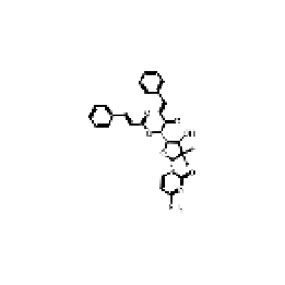 Nc1ccn([C@@H]2O[C@H](C(OC(=O)C=Cc3ccccc3)C(=O)C=Cc3ccccc3)[C@@H](O)C2(F)F)c(=O)n1